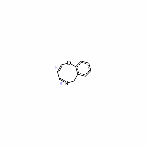 C1=C\Oc2ccccc2C\N=C/1